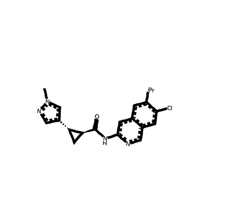 CC(C)c1cc2cc(NC(=O)[C@H]3C[C@@H]3c3cnn(C)c3)ncc2cc1Cl